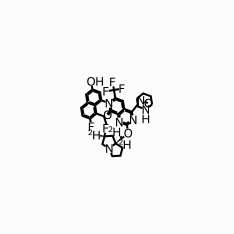 [2H]C([2H])(Oc1nc(N2CC3CCC2CN3)c2cc(C(F)(F)F)n(-c3cc(O)cc4ccc(F)c(CC)c34)c(=O)c2n1)[C@@]12CCCN1C[C@]([2H])(F)C2